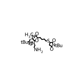 CN(C(=O)CCCCCSC1CC(=O)N(C(C)(C)C)C1=O)[C@@H](CC(=O)C(C)(C)C)C(=O)NCCN